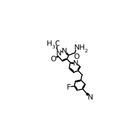 CCn1nc(C(N)=O)c(-c2ccc(Cc3cc(F)cc(C#N)c3)cn2)cc1=O